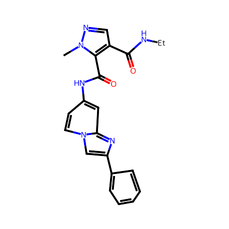 CCNC(=O)c1cnn(C)c1C(=O)Nc1ccn2cc(-c3ccccc3)nc2c1